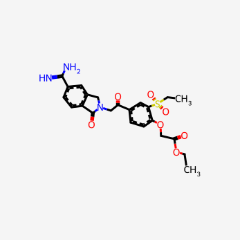 CCOC(=O)COc1ccc(C(=O)CN2Cc3cc(C(=N)N)ccc3C2=O)cc1S(=O)(=O)CC